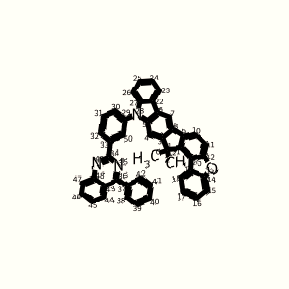 CC1(C)c2cc3c(cc2-c2ccc4oc5ccccc5c4c21)c1ccccc1n3-c1cccc(-c2nc(-c3ccccc3)c3ccccc3n2)c1